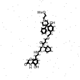 COCCN1CCC(c2ccccc2)(c2cc(CCOCCC(=O)N(CCNCCc3ccc(O)c4c3OCC(=O)N4)C3CCCCC3)ccc2O)CC1